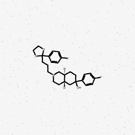 OC1(c2ccc(F)cc2)CC[C@@H]2CN(CCCC3(c4ccc(F)cc4)OCCO3)CC[C@H]2C1